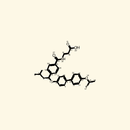 CC(C)CC(Sc1ccc(-c2ccc(OC(C)F)cc2)cc1)c1ccc(C(=O)NCCC(=O)O)cc1